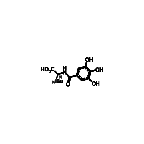 CC[C@H](C)[C@H](NC(=O)c1cc(O)c(O)c(O)c1)C(=O)O